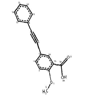 COc1ccc(C#Cc2ccccc2)cc1C(=O)O